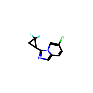 FC1(F)CC1c1ncc2ccc(Cl)cn12